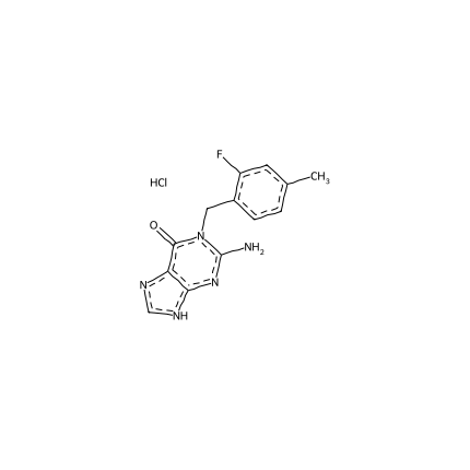 Cc1ccc(Cn2c(N)nc3[nH]cnc3c2=O)c(F)c1.Cl